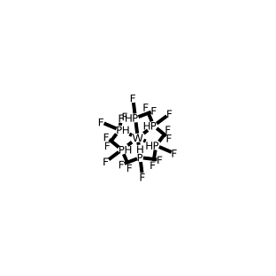 F[PH](F)(F)[W]([PH](F)(F)F)([PH](F)(F)F)([PH](F)(F)F)([PH](F)(F)F)[PH](F)(F)F